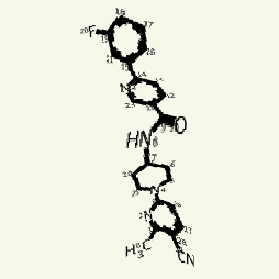 Cc1nc(N2CCC(NC(=O)c3ccc(-c4cccc(F)c4)nc3)CC2)ccc1C#N